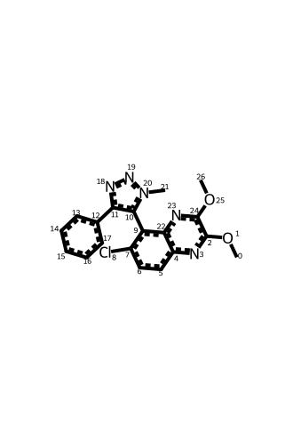 COc1nc2ccc(Cl)c(-c3c(-c4ccccc4)nnn3C)c2nc1OC